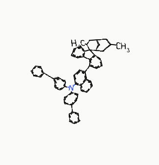 CC1CC2CC(C)C3(c4ccccc4-c4c(-c5ccc(N(c6ccc(-c7ccccc7)cc6)c6ccc(-c7ccccc7)cc6)c6ccccc56)cccc43)C(C1)C2